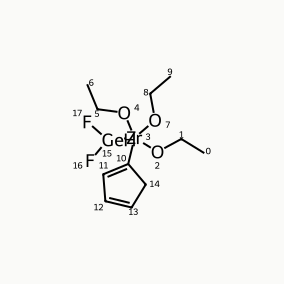 CC[O][Zr]([O]CC)([O]CC)([C]1=CC=CC1)[GeH]([F])[F]